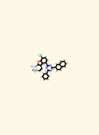 C/C=C\c1c(N)oc2c(Cl)ccc(-c3nc(-c4ccccc4)nc(-c4ccc5ccccc5c4)n3)c12